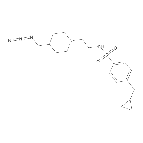 [N-]=[N+]=NCC1CCN(CCNS(=O)(=O)c2ccc(CC3CC3)cc2)CC1